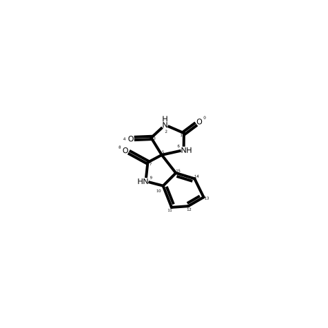 O=C1NC(=O)C2(N1)C(=O)Nc1ccccc12